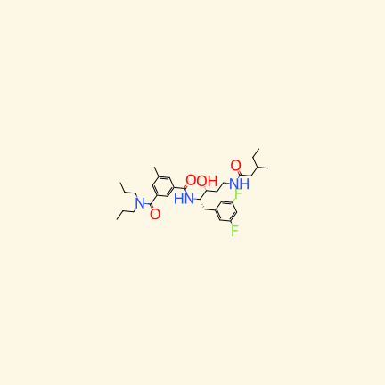 CCCN(CCC)C(=O)c1cc(C)cc(C(=O)N[C@@H](Cc2cc(F)cc(F)c2)[C@H](O)CCNC(=O)CC(C)CC)c1